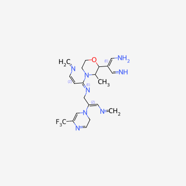 C=N/C=C\C(=N/C/C(=C/N=C)N1C=C(C(F)(F)F)N=CC1)N1CCOC(/C(C=N)=C/N)C1C